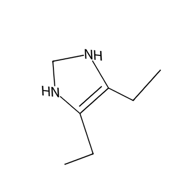 CCC1=C(CC)NCN1